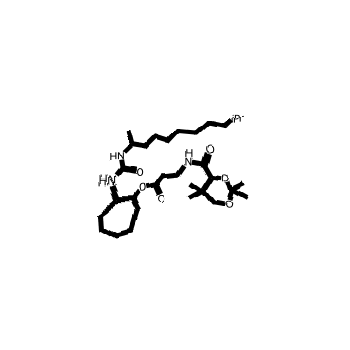 CC(C)CCCCCCCC(C)NC(=O)NC1CCCCCC1OC(=O)CCNC(=O)C1OC(C)(C)OCC1(C)C